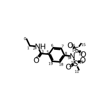 CCNC(=O)c1ccc(N(S(C)(=O)=O)S(C)(=O)=O)cc1